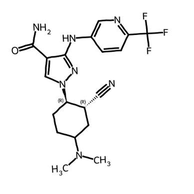 CN(C)C1CC[C@@H](n2cc(C(N)=O)c(Nc3ccc(C(F)(F)F)nc3)n2)[C@H](C#N)C1